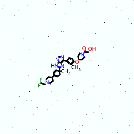 Cc1cc(-c2ncnc3[nH]c(C4(C)C=CC(C5CCN(CC(F)F)CC5)=CC4)nc23)ccc1OC1CCN(C(=O)CO)CC1